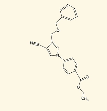 CCOC(=O)c1ccc(-n2cc(C#N)c(COCc3ccccc3)c2)cc1